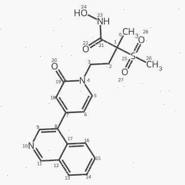 CC(CCn1ccc(-c2cncc3ccccc23)cc1=O)(C(=O)NO)S(C)(=O)=O